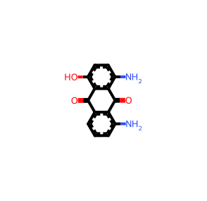 Nc1cccc2c1C(=O)c1c(N)ccc(O)c1C2=O